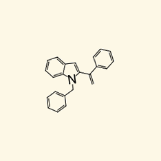 C=C(c1ccccc1)c1cc2ccccc2n1Cc1ccccc1